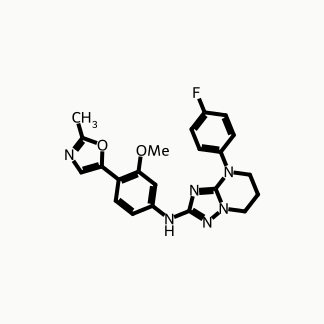 COc1cc(Nc2nc3n(n2)CCCN3c2ccc(F)cc2)ccc1-c1cnc(C)o1